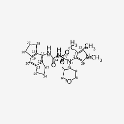 Cc1c(N(C2CCOCC2)S(=O)(=O)NC(=O)Nc2c3c(cc4c2CCC4)CCC3)cn(C)c1C